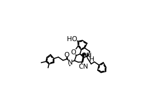 Cc1ccc(CCC(=O)N(C)C2CC[C@@]3(O)[C@H]4Cc5ccc(O)c6c5[C@@]3(CC(C#N)N4CCc3ccccc3)C2O6)cc1C